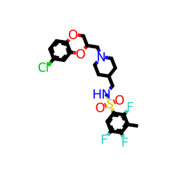 Cc1c(F)c(F)cc(S(=O)(=O)NCC2CCN(CC3COc4ccc(Cl)cc4O3)CC2)c1F